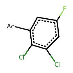 CC(=O)c1cc(F)cc(Cl)c1Cl